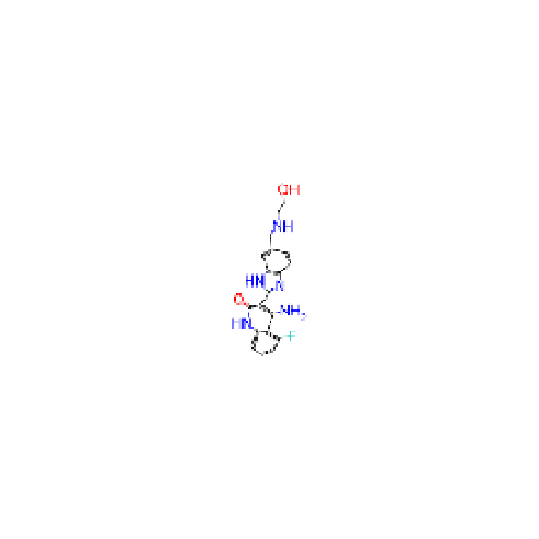 Nc1c(-c2nc3ccc(CNCCO)cc3[nH]2)c(=O)[nH]c2cccc(F)c12